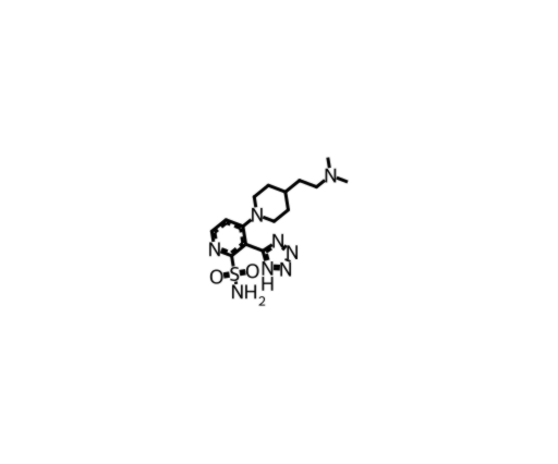 CN(C)CCC1CCN(c2ccnc(S(N)(=O)=O)c2-c2nnn[nH]2)CC1